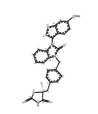 COc1ccc2c(-n3c(=O)n(Cc4ccc(C[C@]5(C)OC(=O)NC5=O)cc4)c4ccccc43)noc2c1